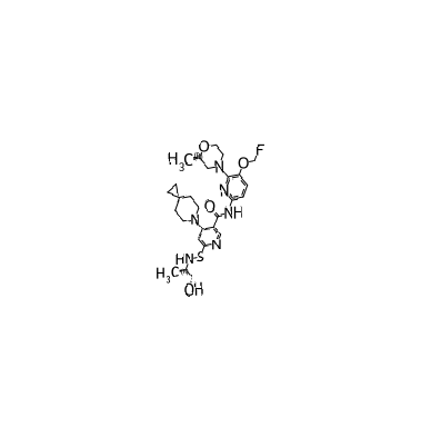 C[C@H](CO)NSc1cc(N2CCC3(CC2)CC3)c(C(=O)Nc2ccc(OCF)c(N3CCO[C@H](C)C3)n2)cn1